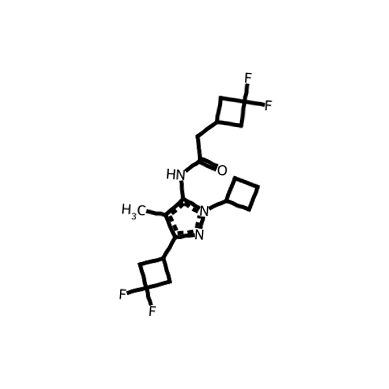 Cc1c(C2CC(F)(F)C2)nn(C2CCC2)c1NC(=O)CC1CC(F)(F)C1